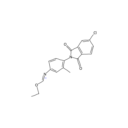 CCO/C=N/c1ccc(N2C(=O)c3ccc(Cl)cc3C2=O)c(C)c1